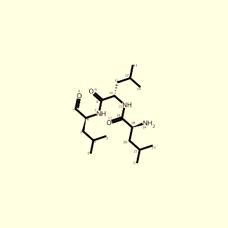 CC(C)C[C@@H]([C]=O)NC(=O)[C@H](CC(C)C)NC(=O)[C@@H](N)CC(C)C